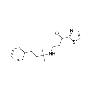 CC(C)(CCc1ccccc1)NCCC(=O)c1nccs1